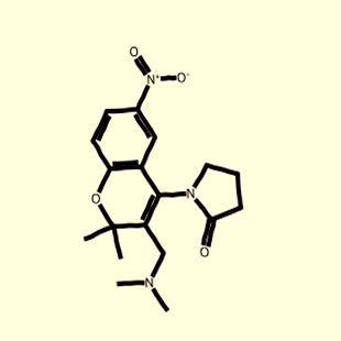 CN(C)CC1=C(N2CCCC2=O)c2cc([N+](=O)[O-])ccc2OC1(C)C